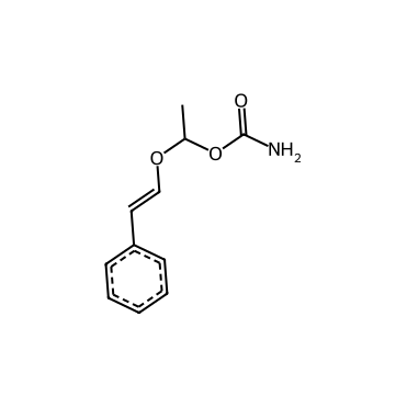 CC(OC=Cc1ccccc1)OC(N)=O